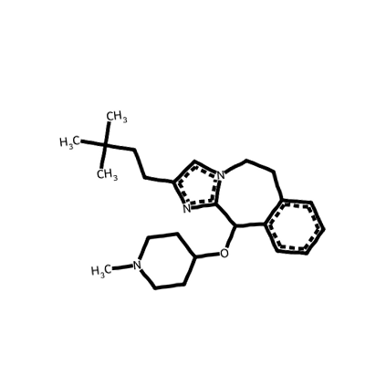 CN1CCC(OC2c3ccccc3CCn3cc(CCC(C)(C)C)nc32)CC1